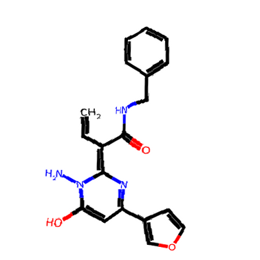 C=C/C(C(=O)NCc1ccccc1)=C1/N=C(c2ccoc2)C=C(O)N1N